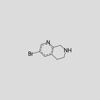 Brc1cnc2c(c1)CCNC2